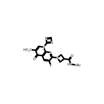 CCCCNC(=O)C1CN(c2nc3c(cc2F)c(=O)c(C(=O)O)cn3C2=NC=P2)C1